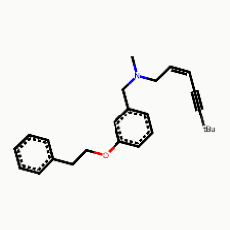 CN(C/C=C\C#CC(C)(C)C)Cc1cccc(OCCc2ccccc2)c1